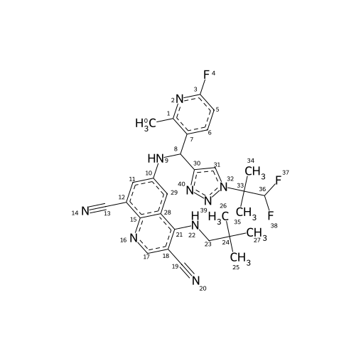 Cc1nc(F)ccc1C(Nc1cc(C#N)c2ncc(C#N)c(NCC(C)(C)C)c2c1)c1cn(C(C)(C)C(F)F)nn1